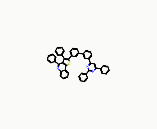 c1ccc(-c2cc(-c3cccc(-c4cccc(-c5sc6c(c(-c7ccccc7)nc7ccccc76)c5-c5ccccc5)c4)c3)nc(-c3ccccc3)n2)cc1